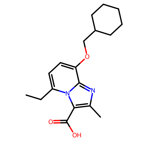 CCc1ccc(OCC2CCCCC2)c2nc(C)c(C(=O)O)n12